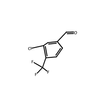 O=[C]c1ccc(C(F)(F)F)c(Cl)c1